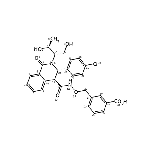 C[C@H](O)[C@H](CO)N1C(=O)c2ccccc2[C@H](C(=O)NOCc2cccc(C(=O)O)c2)[C@H]1c1ccc(Cl)cc1